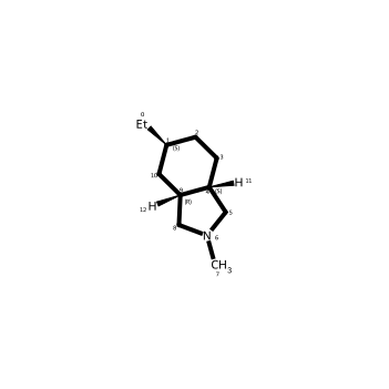 CC[C@H]1CC[C@@H]2CN(C)C[C@@H]2C1